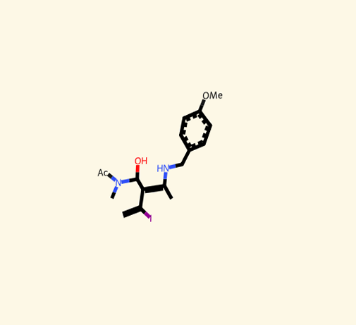 C=C(I)/C(=C(\C)NCc1ccc(OC)cc1)C(O)N(C)C(C)=O